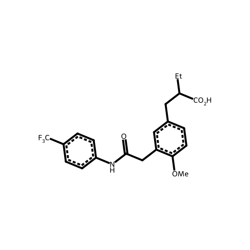 CCC(Cc1ccc(OC)c(CC(=O)Nc2ccc(C(F)(F)F)cc2)c1)C(=O)O